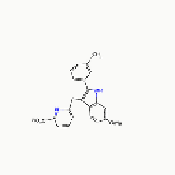 COc1ccc2c(Cc3cccc(C(=O)O)n3)c(-c3cccc(C)c3)[nH]c2c1